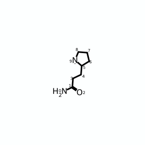 NC(=O)CCC1CCC[N]1